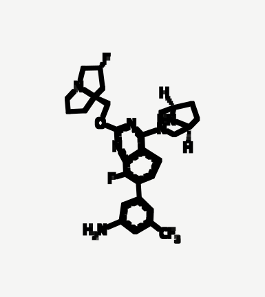 Nc1cc(-c2ccc3c(N4C[C@H]5CC[C@@H](C4)N5)nc(OC[C@@]45CCCN4C[C@H](F)C5)nc3c2F)cc(C(F)(F)F)c1